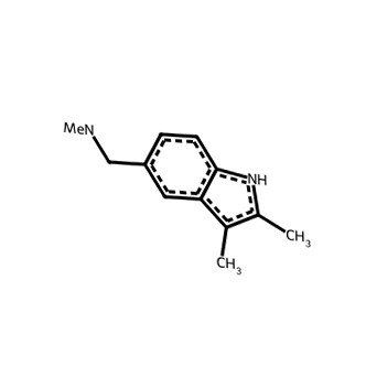 CNCc1ccc2[nH]c(C)c(C)c2c1